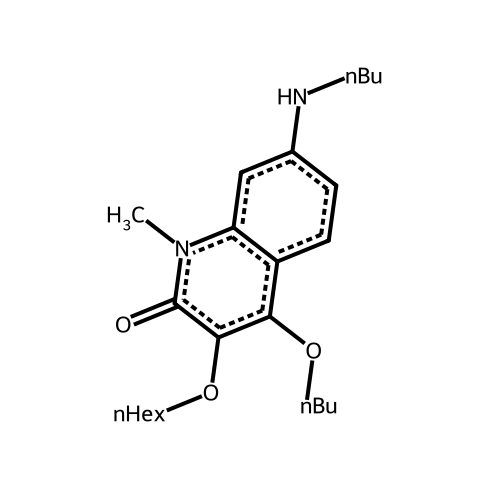 CCCCCCOc1c(OCCCC)c2ccc(NCCCC)cc2n(C)c1=O